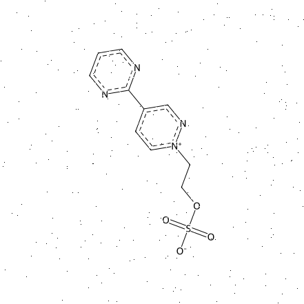 O=S(=O)([O-])OCC[n+]1ccc(-c2ncccn2)cn1